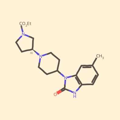 CCOC(=O)N1CC[C@H](N2CCC(n3c(=O)[nH]c4ccc(C)cc43)CC2)C1